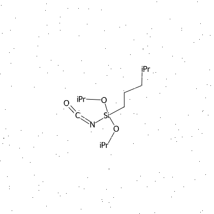 CC(C)CCC[Si](N=C=O)(OC(C)C)OC(C)C